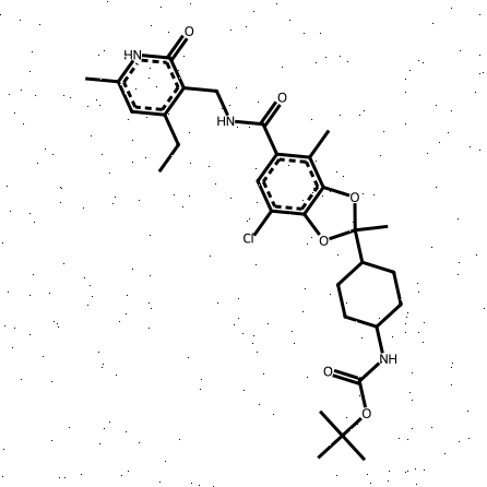 CCc1cc(C)[nH]c(=O)c1CNC(=O)c1cc(Cl)c2c(c1C)OC(C)(C1CCC(NC(=O)OC(C)(C)C)CC1)O2